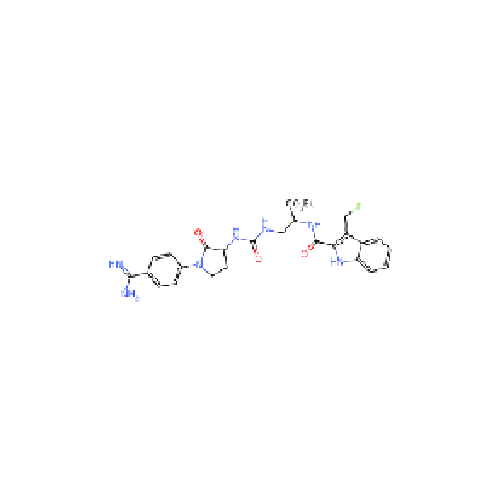 CCOC(=O)C(CNC(=O)NC1CCN(c2ccc(C(=N)N)cc2)C1=O)NC(=O)c1[nH]c2ccccc2c1CF